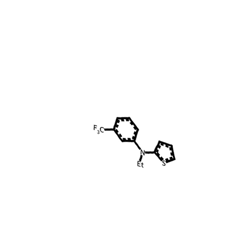 CCN(c1cccc(C(F)(F)F)c1)c1cccs1